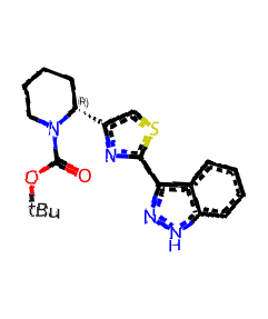 CC(C)(C)OC(=O)N1CCCC[C@@H]1c1csc(-c2n[nH]c3ccccc23)n1